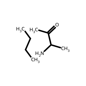 CC(=O)C(C)N.CCCC